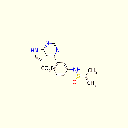 C=C(C)[S+]([O-])Nc1cccc(-c2ncnc3[nH]cc(C(=O)OCC)c23)c1